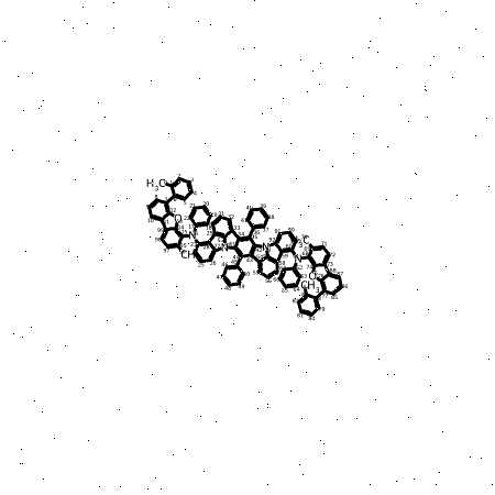 Cc1ccccc1-c1cccc2c1oc1c(N(c3ccccc3)c3cccc4c3c3cccc5c6c(-c7ccccc7)c7c(c(-c8ccccc8)c6n4c35)c3cccc4c5c(N(c6ccccc6)c6c(C)ccc8c6oc6c(-c9ccccc9C)cccc68)cccc5n7c43)c(C)ccc12